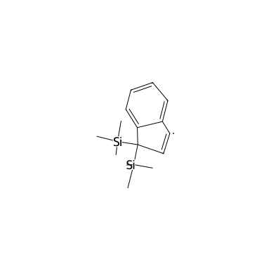 C[Si](C)(C)C1([Si](C)(C)C)C=[C]c2ccccc21